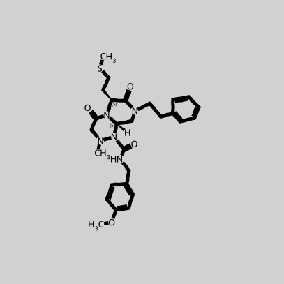 COc1ccc(CNC(=O)N2[C@H]3CN(CCc4ccccc4)C(=O)[C@H](CCSC)N3C(=O)CN2C)cc1